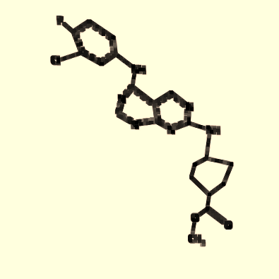 COC(=O)C1CCC(Nc2ncc3c(Nc4ccc(F)c(Cl)c4)ncnc3n2)CC1